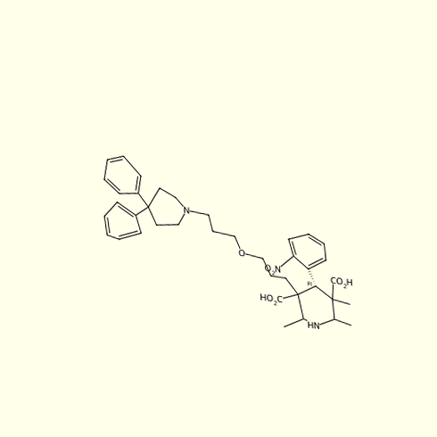 CC1NC(C)C(CCCOCCCN2CCC(c3ccccc3)(c3ccccc3)CC2)(C(=O)O)[C@H](c2ccccc2[N+](=O)[O-])C1(C)C(=O)O